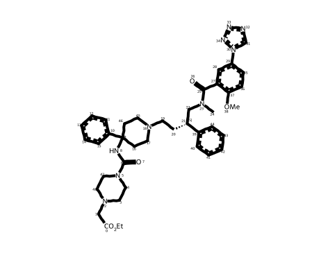 CCOC(=O)CN1CCN(C(=O)NC2(c3ccccc3)CCN(CC[C@H](CN(C)C(=O)c3cc(-n4cnnn4)ccc3OC)c3ccccc3)CC2)CC1